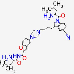 CC(C)CC(N)C(=O)NC(=O)c1cc2cc(N3CCN(CCCCc4cn(C(=O)C(N)CC(C)C)c5ccc(C#N)cc45)CC3)ccc2o1